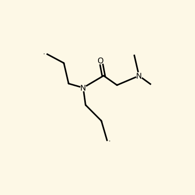 [CH2]CCN(CC[CH2])C(=O)CN(C)C